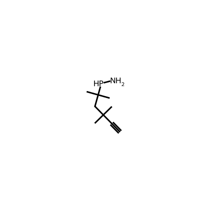 C#CC(C)(C)CC(C)(C)PN